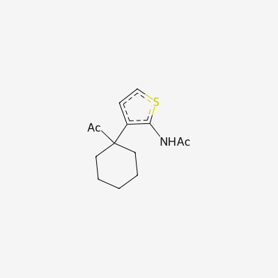 CC(=O)Nc1sccc1C1(C(C)=O)CCCCC1